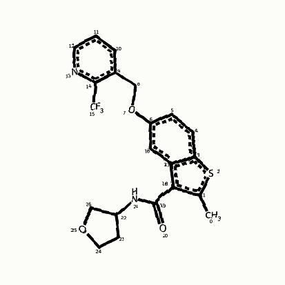 Cc1sc2ccc(OCc3cccnc3C(F)(F)F)cc2c1C(=O)NC1CCOC1